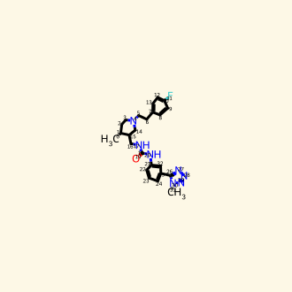 CC1CCN(CCc2ccc(F)cc2)CC1CNC(=O)Nc1cccc(-c2nnnn2C)c1